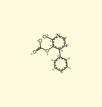 O=C(Cl)Oc1c(Cl)ncnc1-c1ccccc1